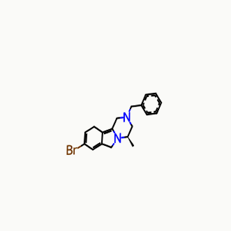 C[C@@H]1CN(Cc2ccccc2)CC2=C3CC=C(Br)C=C3CN21